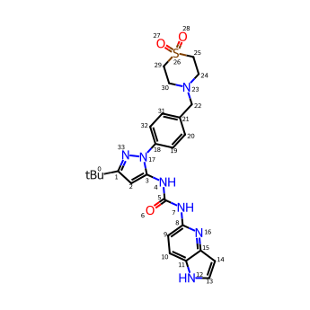 CC(C)(C)c1cc(NC(=O)Nc2ccc3[nH]ccc3n2)n(-c2ccc(CN3CCS(=O)(=O)CC3)cc2)n1